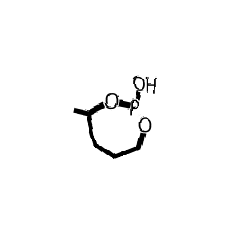 CC1CCCOP(O)O1